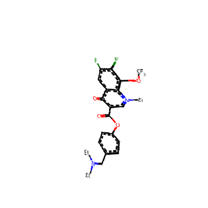 CCN(CC)Cc1ccc(OC(=O)c2cn(CC)c3c(OC(F)(F)F)c(F)c(F)cc3c2=O)cc1